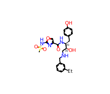 CCc1cccc(CNC[C@H](O)[C@H](Cc2ccc(O)cc2)NC(=O)c2coc(NS(C)(=O)=O)n2)c1